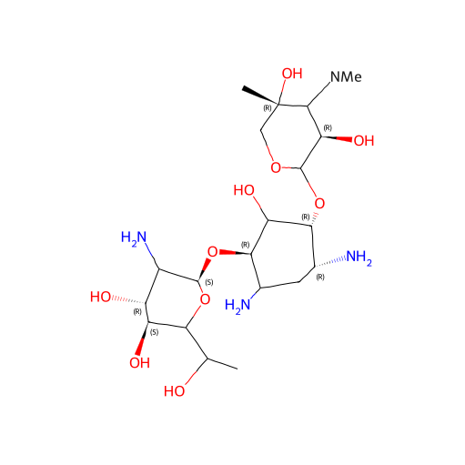 CNC1[C@@H](O)C(O[C@H]2C(O)[C@H](O[C@H]3OC(C(C)O)[C@@H](O)[C@H](O)C3N)C(N)C[C@H]2N)OC[C@]1(C)O